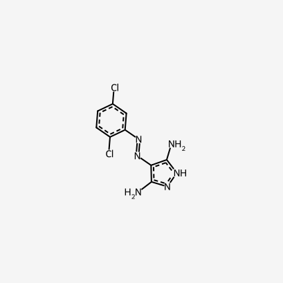 Nc1n[nH]c(N)c1N=Nc1cc(Cl)ccc1Cl